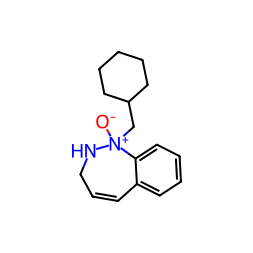 [O-][N+]1(CC2CCCCC2)NCC=Cc2ccccc21